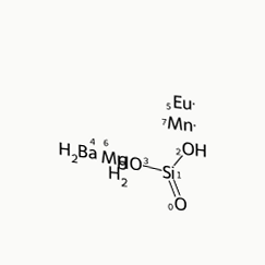 O=[Si](O)O.[BaH2].[Eu].[MgH2].[Mn]